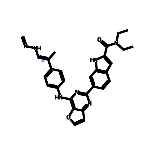 C=NN/C=C(\C)c1ccc(Nc2nc(-c3ccc4cc(C(=O)N(CC)CC)[nH]c4c3)nc3ccoc23)cc1